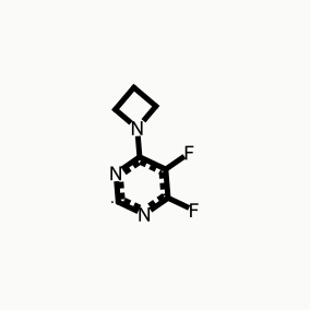 Fc1n[c]nc(N2CCC2)c1F